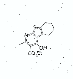 CCOC(=O)c1c(C)nc2sc3c(c2c1O)CCCC3